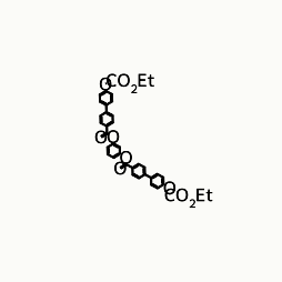 CCOC(=O)Oc1ccc(-c2ccc(C(=O)Oc3cccc(OC(=O)c4ccc(-c5ccc(OC(=O)OCC)cc5)cc4)c3)cc2)cc1